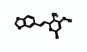 CCOC1=CC(=O)OC(/C=C/c2ccc3c(c2)OCO3)C1C